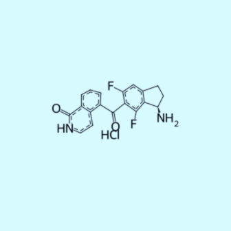 Cl.N[C@@H]1CCc2cc(F)c(C(=O)c3cccc4c(=O)[nH]ccc34)c(F)c21